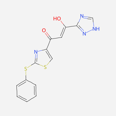 O=C(C=C(O)c1nc[nH]n1)c1csc(Sc2ccccc2)n1